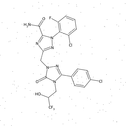 NC(=O)c1nc(Cn2nc(-c3ccc(Cl)cc3)n(CC(O)C(F)(F)F)c2=O)nn1-c1c(F)cccc1Cl